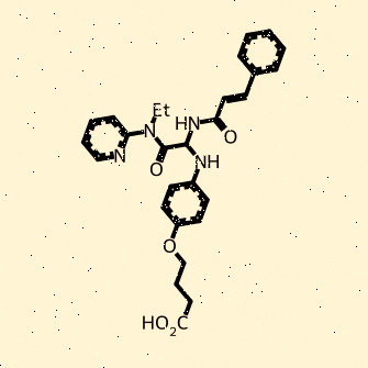 CCN(C(=O)C(NC(=O)C=Cc1ccccc1)Nc1ccc(OCCCC(=O)O)cc1)c1ccccn1